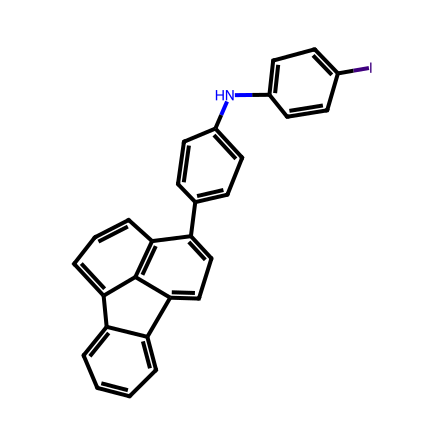 Ic1ccc(Nc2ccc(-c3ccc4c5c(cccc35)-c3ccccc3-4)cc2)cc1